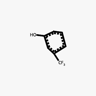 Oc1[c]ccc(C(F)(F)F)c1